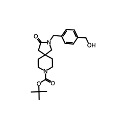 CC(C)(C)OC(=O)N1CCC2(CC1)CC(=O)N(Cc1ccc(CO)cc1)C2